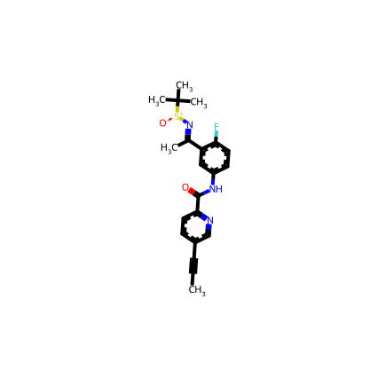 CC#Cc1ccc(C(=O)Nc2ccc(F)c(C(C)=N[S@+]([O-])C(C)(C)C)c2)nc1